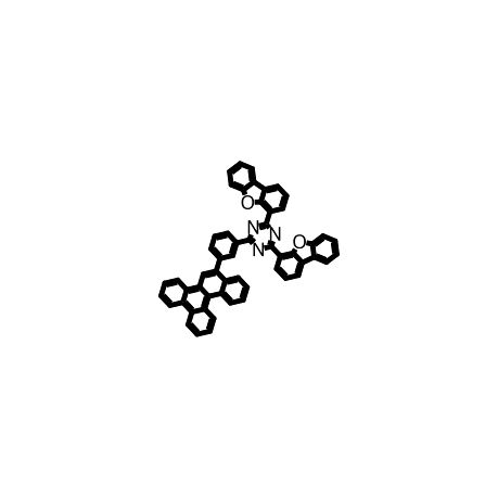 c1cc(-c2nc(-c3cccc4c3oc3ccccc34)nc(-c3cccc4c3oc3ccccc34)n2)cc(-c2cc3c4ccccc4c4ccccc4c3c3ccccc23)c1